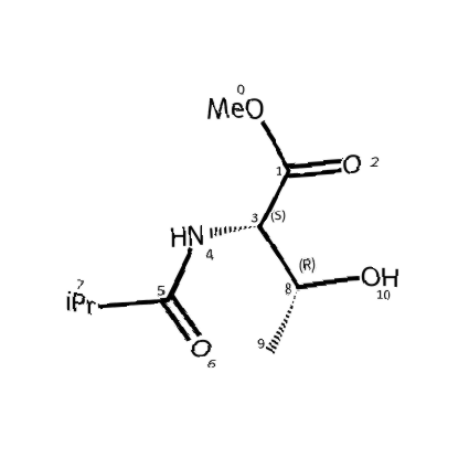 COC(=O)[C@@H](NC(=O)C(C)C)[C@@H](C)O